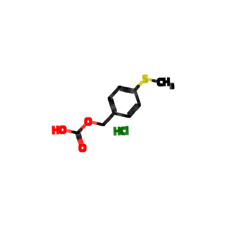 CSc1ccc(COC(=O)O)cc1.Cl